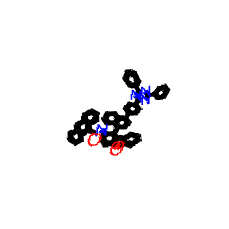 c1ccc(-c2nc(-c3ccccc3)nc(-c3ccc(-c4ccc(-c5c6nc(-c7c8ccccc8cc8ccccc78)oc6cc6oc7ccccc7c56)c5ccccc45)cc3)n2)cc1